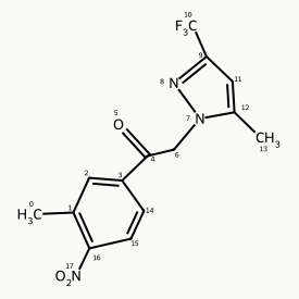 Cc1cc(C(=O)Cn2nc(C(F)(F)F)cc2C)ccc1[N+](=O)[O-]